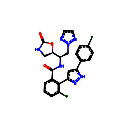 O=C1NC[C@H]([C@@H](Cn2nccn2)NC(=O)c2cccc(F)c2-c2cc(-c3ccc(F)cc3)[nH]n2)O1